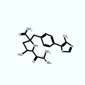 Cc1ncsc1-c1ccc(CC2(C(N)=O)CC(O)C(C(=O)[C@@H](N)C(C)(C)C)N2)cc1